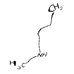 [CH2]CCNC